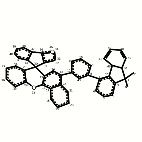 CC1(C)c2cccc(-c3cccc(-c4cc5c(c6ccccc46)Oc4ccccc4C54c5ccccc5-c5ccccc54)c3)c2C2C=CC=CC21